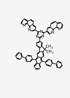 CC1(C)c2cc(-c3nc(-c4cnc5c(ccc6cccnc65)c4)nc(-c4cnc5c(ccc6cccnc65)c4)n3)ccc2-c2cc3c(-c4ccc(-c5ccccc5)cc4)c4ccccc4c(-c4ccc(-c5ccccc5)cc4)c3cc21